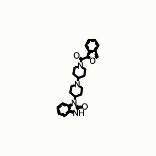 O=C(c1occ2ccccc12)N1CCC(N2CCC(n3c(=O)[nH]c4ccccc43)CC2)CC1